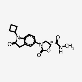 CNC(=O)[C@H]1CN(c2ccc3c(c2)CC(=O)N3C2CCC2)C(=O)O1